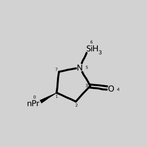 CCC[C@@H]1CC(=O)N([SiH3])C1